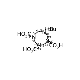 CC(C)(C)CN1CCCN(CC(=O)O)CCN(CC(=O)O)CCN(CC(=O)O)CC1